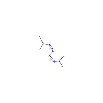 CC(C)/N=C\N=N/C(C)C